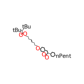 CCCCCc1ccc(-c2cc3ccc(OCCC/C=C/CCCOC(=O)C(CC(C)(C)C)C(C)(C)C)cc3oc2=O)cc1